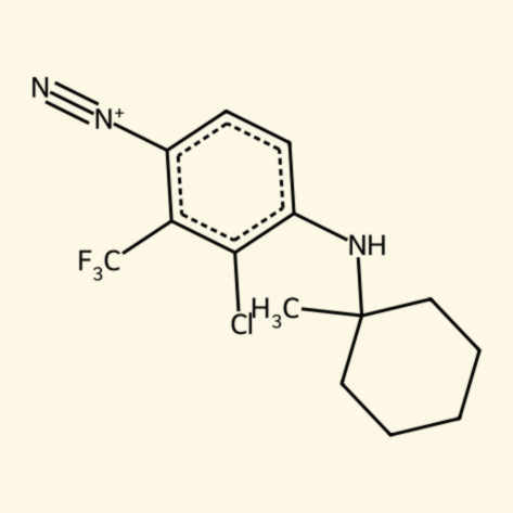 CC1(Nc2ccc([N+]#N)c(C(F)(F)F)c2Cl)CCCCC1